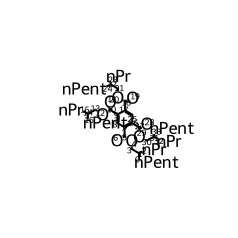 CCCCCC(CCC)COC(=O)c1cc(C(=O)OCC(CCC)CCCCC)c(C(=O)OCC(CCC)CCCCC)cc1C(=O)OCC(CCC)CCCCC